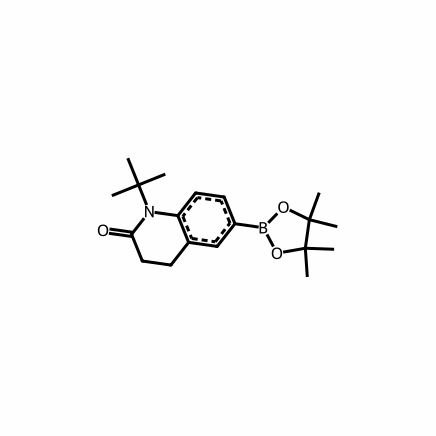 CC(C)(C)N1C(=O)CCc2cc(B3OC(C)(C)C(C)(C)O3)ccc21